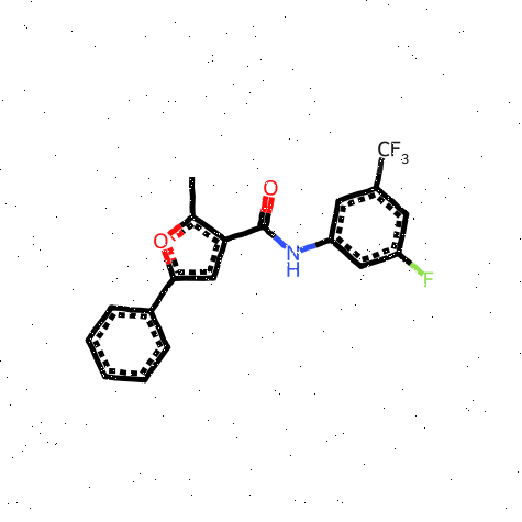 Cc1oc(-c2ccccc2)cc1C(=O)Nc1cc(F)cc(C(F)(F)F)c1